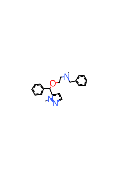 CN(CCOC(c1ccccc1)c1ccnn1C)Cc1ccccc1